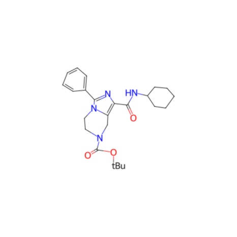 CC(C)(C)OC(=O)N1CCn2c(-c3ccccc3)nc(C(=O)NC3CCCCC3)c2C1